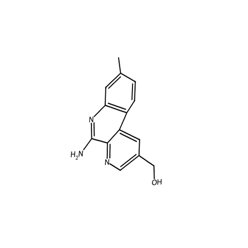 Cc1ccc2c(c1)nc(N)c1ncc(CO)cc12